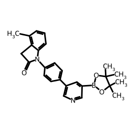 Cc1cccc2c1CC(=O)N2c1ccc(-c2cncc(B3OC(C)(C)C(C)(C)O3)c2)cc1